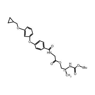 C[C@@H](COC(=O)CNC(=O)c1ccc(Oc2cccc(OCC3CC3)c2)cc1)NC(=O)OC(C)(C)C